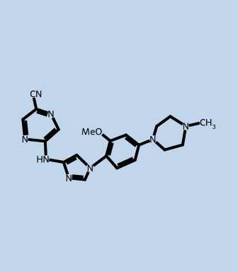 COc1cc(N2CCN(C)CC2)ccc1-n1cnc(Nc2cnc(C#N)cn2)c1